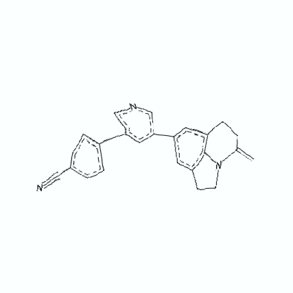 C=C1CCc2cc(-c3cncc(-c4ccc(C#N)cc4)c3)cc3c2N1CC3